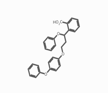 O=C(O)c1ccccc1C(CCOc1ccc(Oc2ccccc2)cc1)Oc1ccccc1